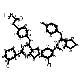 Cc1ccc(Cc2nc(-c3cccc(Cl)c3)nc3c2CCC3)cc1.NC(=O)Cc1ccc(Cc2nc(-c3cccc(Cl)c3)nc3c2CCC3)cc1